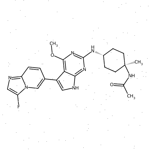 COc1nc(N[C@H]2CC[C@](C)(NC(C)=O)CC2)nc2[nH]cc(-c3ccc4ncc(F)n4c3)c12